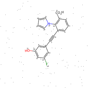 O=C(O)c1cccc(C#Cc2cc(O)cc(F)c2)c1-n1cccc1